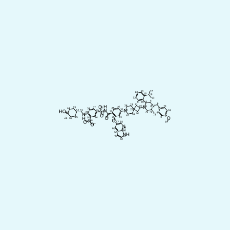 COc1ccc(CN2CC(c3ccccc3C(C)C)N(C3CC4(CCN(c5ccc(C(=O)NS(=O)(=O)c6ccc(NC[C@H]7CC[C@](C)(O)CC7)c([N+](=O)[O-])c6)c(Oc6cnc7[nH]ccc7c6)c5)CC4)C3)CC2C)cc1